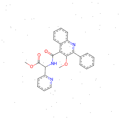 COC(=O)C(NC(=O)c1c(OC)c(-c2ccccc2)nc2ccccc12)c1ccccn1